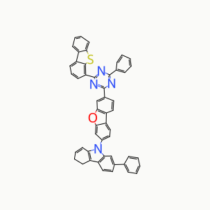 C1=Cc2c(c3ccc(-c4ccccc4)cc3n2-c2ccc3c(c2)oc2cc(-c4nc(-c5ccccc5)nc(-c5cccc6c5sc5ccccc56)n4)ccc23)CC1